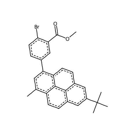 COC(=O)c1cc(-c2cc(C)c3ccc4cc(C(C)(C)C)cc5ccc2c3c45)ccc1Br